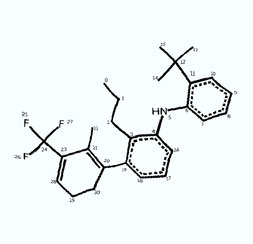 CCCc1c(Nc2ccccc2C(C)(C)C)cccc1C1=C(C)C(C(F)(F)F)=CCC1